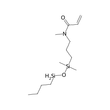 C=CC(=O)N(C)CCC[Si](C)(C)O[SiH2]CCCC